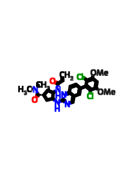 C=CC(=O)NC1C[C@@H](C(=O)N(C)C)CC1Nc1ncc2cc(-c3c(Cl)c(OC)cc(OC)c3Cl)ccc2n1